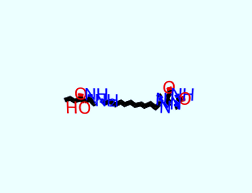 CCCC(=O)C(O)C(N)CNCCCCCCCCCCCc1nc2c(c(=O)[nH]c(=O)n2C)n1C